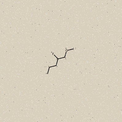 CCCC(F)COI